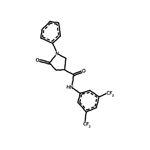 O=C(Nc1cc(C(F)(F)F)cc(C(F)(F)F)c1)C1CC(=O)N(c2ccccc2)C1